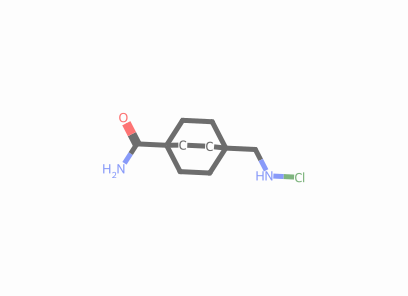 NC(=O)C12CCC(CNCl)(CC1)CC2